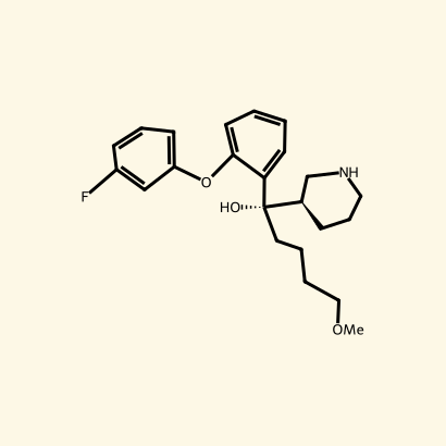 COCCCC[C@@](O)(c1ccccc1Oc1cccc(F)c1)[C@@H]1CCCNC1